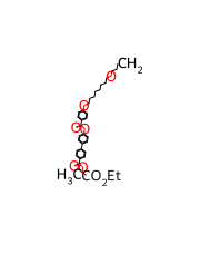 C=CCCOCCCCCCCCOc1ccc(C(=O)Oc2ccc(-c3ccc(C(=O)OC(C)C(=O)OCC)cc3)cc2)cc1